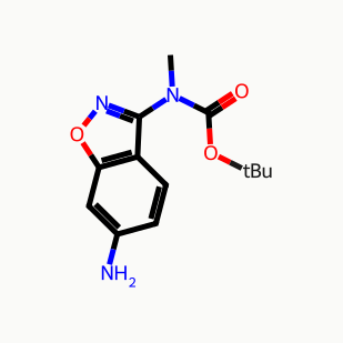 CN(C(=O)OC(C)(C)C)c1noc2cc(N)ccc12